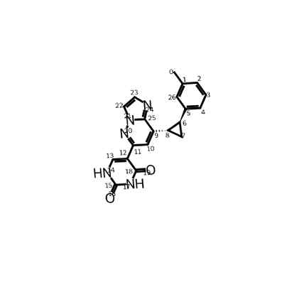 Cc1cccc([C@H]2C[C@@H]2c2cc(-c3c[nH]c(=O)[nH]c3=O)nn3ccnc23)c1